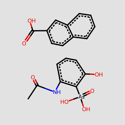 CC(=O)Nc1cccc(O)c1[As](=O)(O)O.O=C(O)c1ccc2ccccc2c1